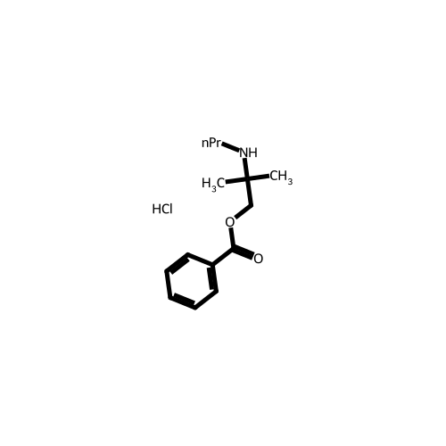 CCCNC(C)(C)COC(=O)c1ccccc1.Cl